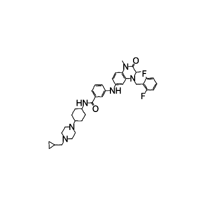 CC1C(=O)N(C)c2ccc(Nc3cccc(C(=O)NC4CCC(N5CCN(CC6CC6)CC5)CC4)c3)cc2N1Cc1c(F)cccc1F